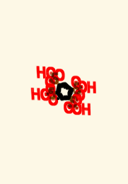 O=S(=O)(O)c1[c]c(S(=O)(=O)O)c(S(=O)(=O)O)[c]c1S(=O)(=O)O